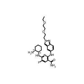 CCOCCOCCn1cc2cc(Nc3nc(N[C@@H]4CCCC[C@@H]4N)c(F)cc3C(N)=O)ccc2n1